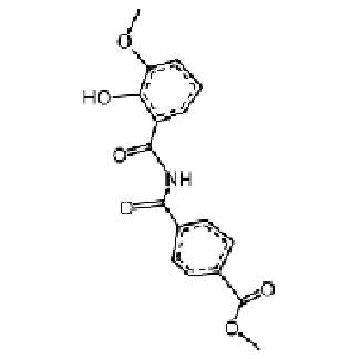 COC(=O)c1ccc(C(=O)NC(=O)c2cccc(OC)c2O)cc1